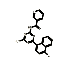 Nc1nc(NC(=O)c2cccnc2)nc(-c2ccc(Cl)c3ccccc23)n1